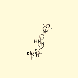 CCNc1nc(C)c(-c2ccnc(Nc3ccc(N4CC(C)OC(C)C4)cc3)n2)s1